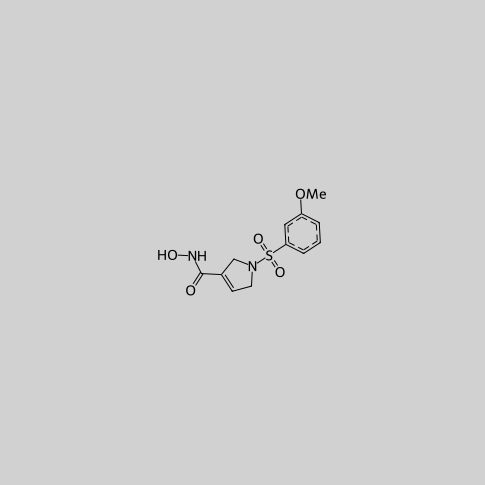 COc1cccc(S(=O)(=O)N2CC=C(C(=O)NO)C2)c1